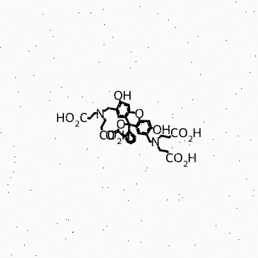 O=C(O)CCN(CCC(=O)O)Cc1cc2c(cc1O)Oc1cc(O)c(CN(CCC(=O)O)CCC(=O)O)cc1C21OC(=O)c2ccccc21